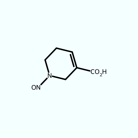 O=NN1CCC=C(C(=O)O)C1